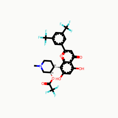 CN1CC[C@H](c2c(O)cc(O)c3c(=O)cc(-c4cc(C(F)(F)F)cc(C(F)(F)F)c4)oc23)[C@H](OC(=O)C(F)(F)F)C1